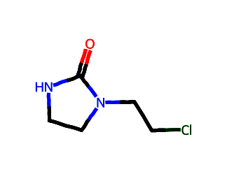 O=C1NCCN1CCCl